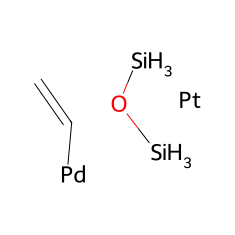 C=[CH][Pd].[Pt].[SiH3]O[SiH3]